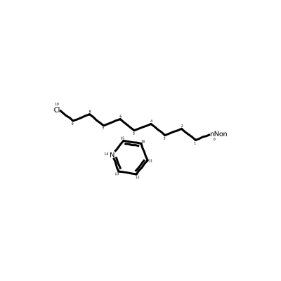 CCCCCCCCCCCCCCCCCCCl.c1ccncc1